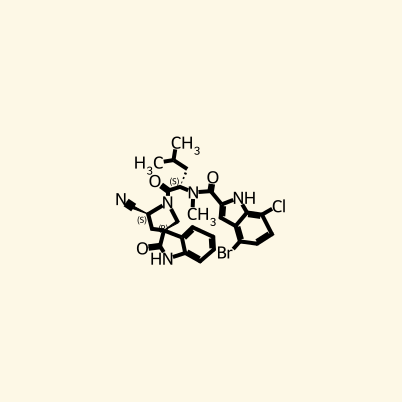 CC(C)C[C@@H](C(=O)N1C[C@]2(C[C@H]1C#N)C(=O)Nc1ccccc12)N(C)C(=O)c1cc2c(Br)ccc(Cl)c2[nH]1